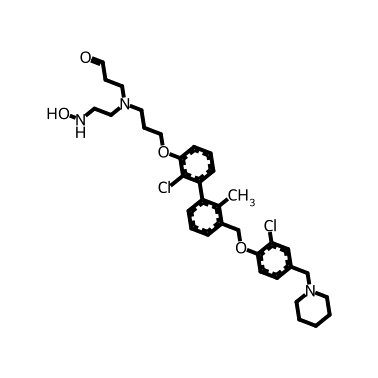 Cc1c(COc2ccc(CN3CCCCC3)cc2Cl)cccc1-c1cccc(OCCCN(CCC=O)CCNO)c1Cl